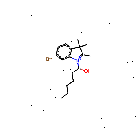 CCCCCC(O)[N+]1=C(C)C(C)(C)c2ccccc21.[Br-]